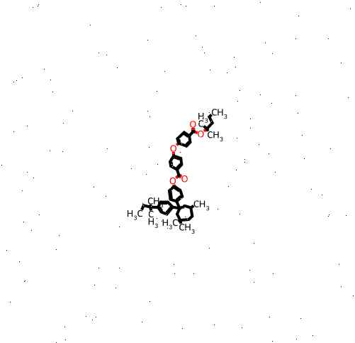 CCCC(C)(C)OC(=O)c1ccc(Oc2ccc(C(=O)Oc3ccc(C4(c5ccc(C(C)(C)CC)cc5)CC(C)CCC(C)(C)C4)cc3)cc2)cc1